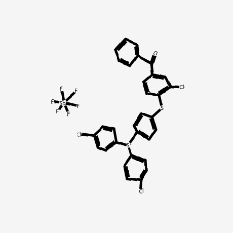 O=C(c1ccccc1)c1ccc(Sc2ccc([S+](c3ccc(Cl)cc3)c3ccc(Cl)cc3)cc2)c(Cl)c1.[F][Sb-]([F])([F])([F])([F])[F]